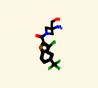 NC1(CO)CN(C(=O)c2sc3ccc(C(F)(F)F)cc3c2Cl)C1